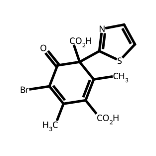 CC1=C(Br)C(=O)C(C(=O)O)(c2nccs2)C(C)=C1C(=O)O